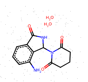 Nc1cccc2c1C(N1C(=O)CCCC1=O)NC2=O.O.O